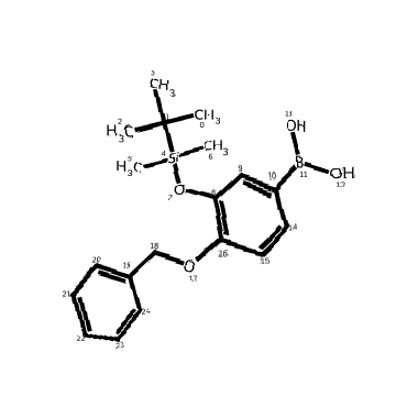 CC(C)(C)[Si](C)(C)Oc1cc(B(O)O)ccc1OCc1ccccc1